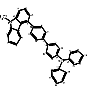 Cn1c2ccccc2c2c(-c3ccc(-c4ccc(N(c5ccccc5)c5ccccc5)cc4)cc3)cccc21